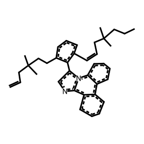 C=CCC(C)(C)CCc1cccc(C=CCC(C)(C)CCC)c1-c1cnc2c3ccccc3c3ccccc3n12